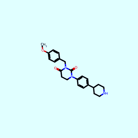 COc1ccc(CN2C(=O)CCN(c3ccc(C4CCNCC4)cc3)C2=O)cc1